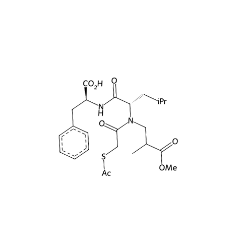 COC(=O)C(C)CN(C(=O)CSC(C)=O)[C@@H](CC(C)C)C(=O)N[C@@H](Cc1ccccc1)C(=O)O